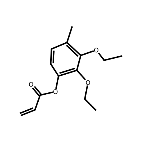 C=CC(=O)Oc1ccc(C)c(OCC)c1OCC